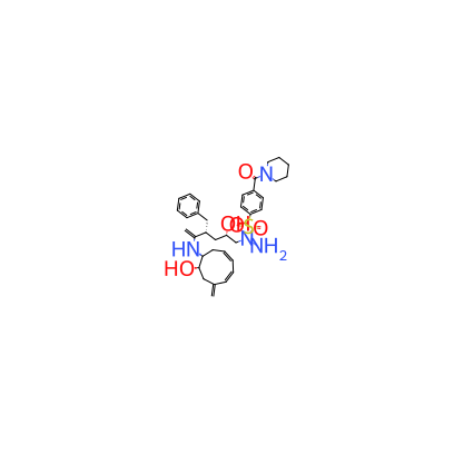 C=C1/C=C\C=C/C[C@H](NC(=C)[C@H](Cc2ccccc2)C[C@H](O)CN(N)S(=O)(=O)c2ccc(C(=O)N3CCCCC3)cc2)[C@H](O)C1